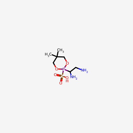 CC1(C)CO[P](C(N)CN)(S(=O)(=O)O)OC1